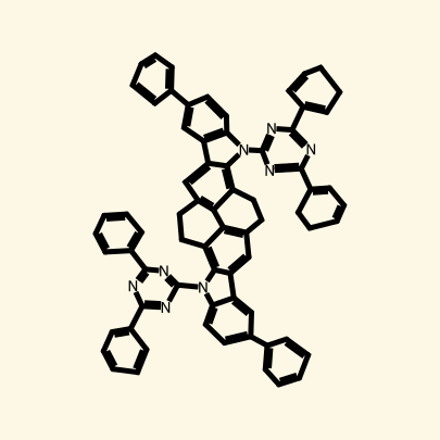 C1=CCCC(c2nc(C3=CCCC=C3)nc(-n3c4ccc(-c5ccccc5)cc4c4cc5c6c(c43)CCc3cc4c7cc(-c8ccccc8)ccc7n(-c7nc(-c8ccccc8)nc(-c8ccccc8)n7)c4c(c3-6)CC5)n2)=C1